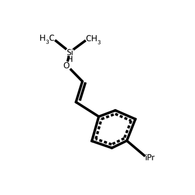 CC(C)c1ccc(C=CO[SiH](C)C)cc1